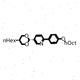 CCCCCCCCOc1ccc(-c2ccc([C@H]3OC[C@H](CCCCCC)CO3)cn2)cc1